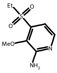 CCS(=O)(=O)c1ccnc(N)c1OC